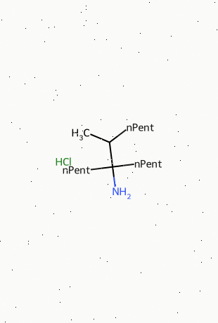 CCCCCC(C)C(N)(CCCCC)CCCCC.Cl